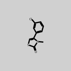 Cn1c(-c2cccc(Cl)c2)csc1=O